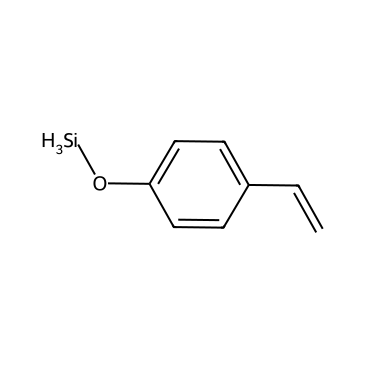 C=Cc1ccc(O[SiH3])cc1